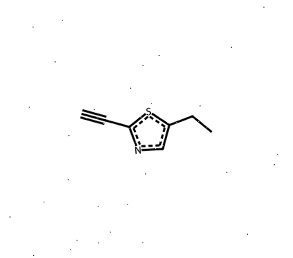 C#Cc1ncc(CC)s1